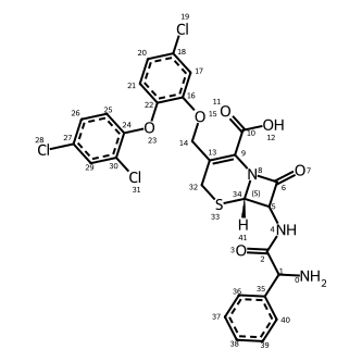 NC(C(=O)NC1C(=O)N2C(C(=O)O)=C(COc3cc(Cl)ccc3Oc3ccc(Cl)cc3Cl)CS[C@@H]12)c1ccccc1